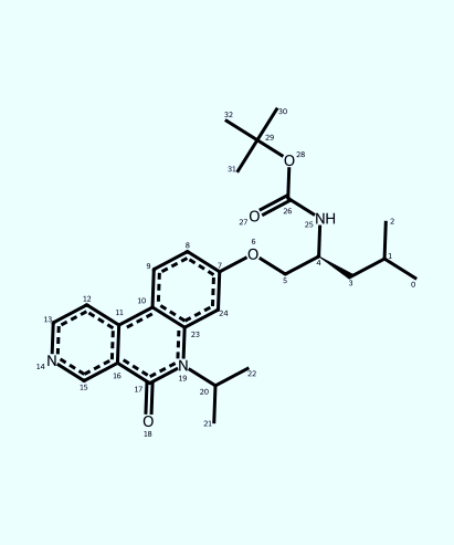 CC(C)C[C@@H](COc1ccc2c3ccncc3c(=O)n(C(C)C)c2c1)NC(=O)OC(C)(C)C